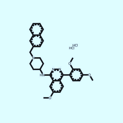 COc1ccc(-c2nnc(NC3CCN(Cc4ccc5ccccc5c4)CC3)c3cc(OC)ccc23)c(OC)c1.Cl.Cl